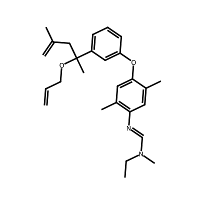 C=CCOC(C)(CC(=C)C)c1cccc(Oc2cc(C)c(N=CN(C)CC)cc2C)c1